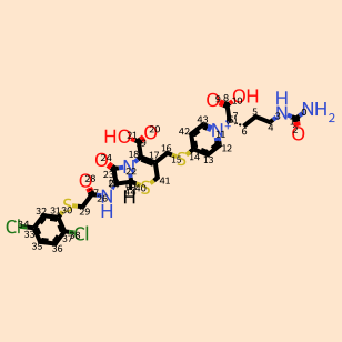 NC(=O)NCCC[C@@H](C(=O)O)[n+]1ccc(SCC2=C(C(=O)O)N3C(=O)[C@H](NC(=O)CSc4cc(Cl)ccc4Cl)[C@H]3SC2)cc1